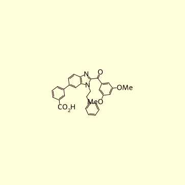 COc1cc(OC)cc(C(=O)c2nc3ccc(-c4cccc(C(=O)O)c4)cc3n2CCc2ccccc2)c1